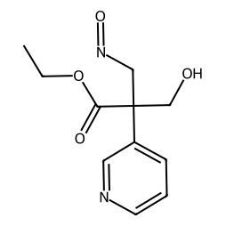 CCOC(=O)C(CO)(CN=O)c1cccnc1